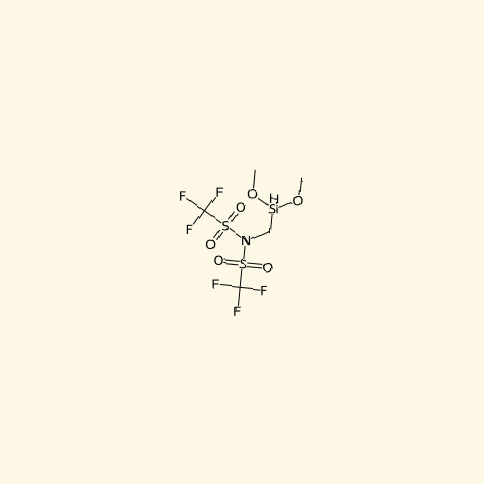 CO[SiH](CN(S(=O)(=O)C(F)(F)F)S(=O)(=O)C(F)(F)F)OC